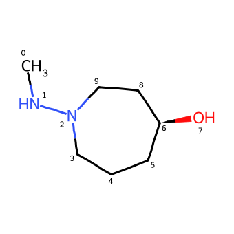 CNN1CCC[C@H](O)CC1